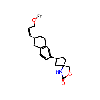 CCOC/C=C\[C@@H]1CCc2cc([C@H]3CC[C@]4(COC(=O)N4)C3)ccc2C1